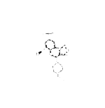 CN1CCN(c2nc3c(C#N)cc(C(F)(F)F)cc3n3nnnc23)CC1